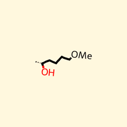 COCCCC[C@@H](C)O